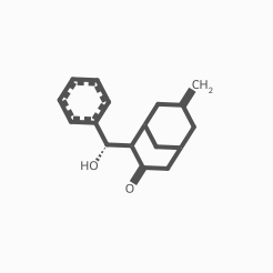 C=C1CC2CC(=O)C([C@H](O)c3ccccc3)C(C1)C2